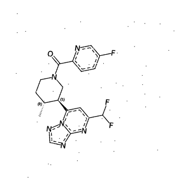 C[C@@H]1CCN(C(=O)c2ccc(F)cn2)C[C@H]1c1cc(C(F)F)nc2ncnn12